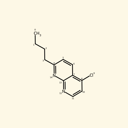 CCCCc1ccc2c(Cl)ccnc2n1